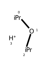 CC(C)OC(C)C.[H+]